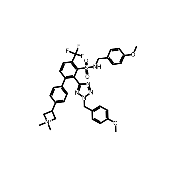 COc1ccc(CNS(=O)(=O)c2c(C(F)(F)F)ccc(-c3ccc(C4C[N+](C)(C)C4)cc3)c2-c2nnn(Cc3ccc(OC)cc3)n2)cc1